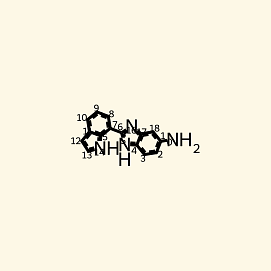 Nc1ccc2[nH]c(-c3cccc4cc[nH]c34)nc2c1